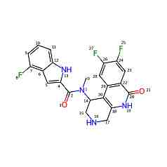 CN(C(=O)c1cc2c(F)cccc2[nH]1)C1CNCc2[nH]c(=O)c3cc(F)c(F)cc3c21